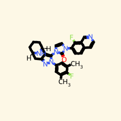 Cc1cc(-n2nc3c(c2-n2ccn(-c4ccc5ccncc5c4F)c2=O)[C@@H]2CCC[C@H](C3)N2)cc(C)c1F